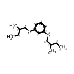 CCC(C)COc1cccc(OCC(C)CC)c1